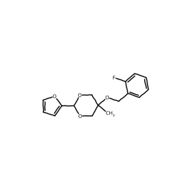 CC1(OCc2ccccc2F)COC(c2ccco2)OC1